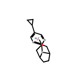 CN1CC2CCC(C1)N2c1ncc(C2CC2)cn1